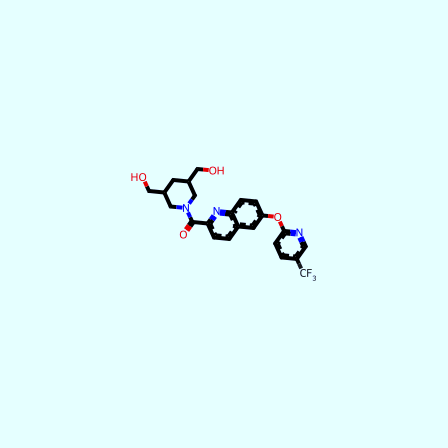 O=C(c1ccc2cc(Oc3ccc(C(F)(F)F)cn3)ccc2n1)N1CC(CO)CC(CO)C1